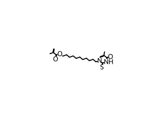 C=C(C)C(=O)OCCCCCCCCCCCn1cc(C)c(=O)[nH]c1=S